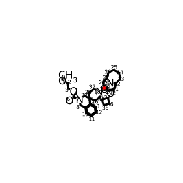 COCCOC(=O)N1Cc2ccccc2C2(CCN(C3CCC4CCCCC(C3)N4C(=O)OC3CCC3)CC2)C1